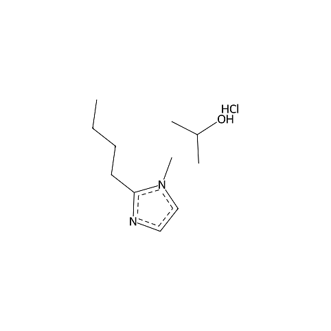 CC(C)O.CCCCc1nccn1C.Cl